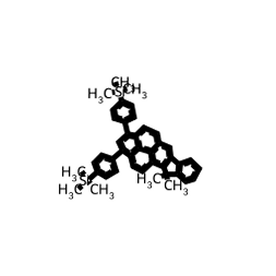 CC1(C)c2ccccc2-c2cc3ccc4c(-c5ccc([Si](C)(C)C)cc5)cc(-c5ccc([Si](C)(C)C)cc5)c5ccc(c21)c3c45